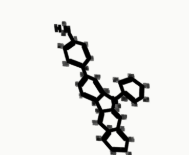 Nc1ccc(-c2ccc3c4cc5ccccc5cc4n(-c4ccccc4)c3c2)cc1